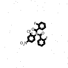 O=C(c1ccccc1F)N(C(=O)c1ccccc1F)c1ccc([N+](=O)[O-])cc1C(F)(F)F